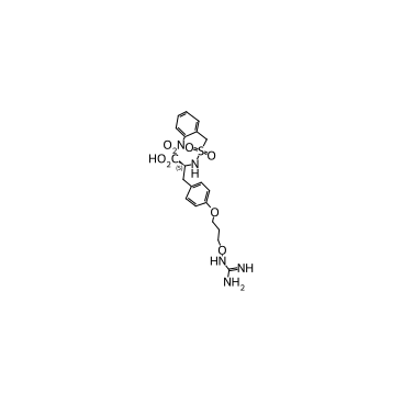 N=C(N)NOCCCOc1ccc(C[C@H](NS(=O)(=O)Cc2ccccc2[N+](=O)[O-])C(=O)O)cc1